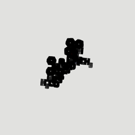 CO/N=C(/C(=O)NC1C(=O)N2C(C(=O)OC(c3ccccc3)c3ccccc3)=C(c3csc(NC(C)=O)n3)CS[C@H]12)c1csc(NC(c2ccccc2)(c2ccccc2)c2ccccc2)n1